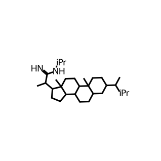 CC(C)NC(=N)C(C)C1CCC2C3CCC4CC(C(C)C(C)C)CCC4(C)C3CCC12C